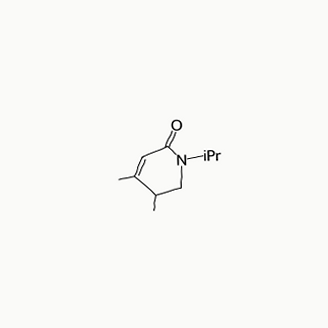 CC1=CC(=O)N(C(C)C)CC1C